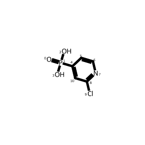 O=P(O)(O)c1ccnc(Cl)c1